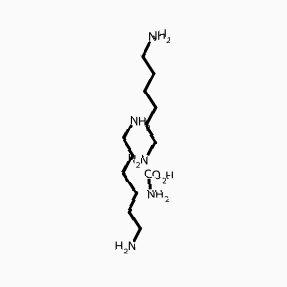 NC(=O)O.NCCCCCCN.NCCCCCCN